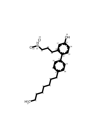 CCCCCCCCc1ccc(-c2ccc(O)cc2CCC[SiH](Cl)Cl)cc1